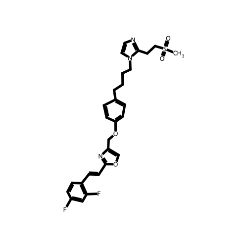 CS(=O)(=O)CCc1nccn1CCCCc1ccc(OCc2coc(C=Cc3ccc(F)cc3F)n2)cc1